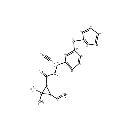 CC1(C)C(C=N)C1C(=O)O[C@H](C#N)c1cccc(Oc2ccccc2)c1